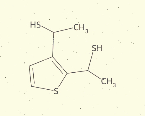 CC(S)c1ccsc1C(C)S